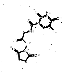 O=C(CNC(=O)n1cc(F)c(=O)[nH]c1=O)ON1C(=O)CCC1=O